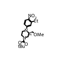 CCc1cc(N2CCN(C(=O)OC(C)(C)C)C[C@@H]2COC)ccc1[N+](=O)[O-]